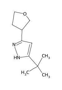 CC(C)(C)c1cc(C2CCOC2)n[nH]1